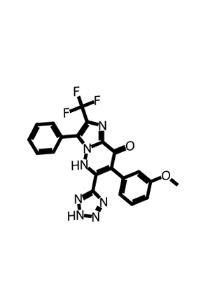 COc1cccc(-c2c(-c3nn[nH]n3)[nH]n3c(-c4ccccc4)c(C(F)(F)F)nc3c2=O)c1